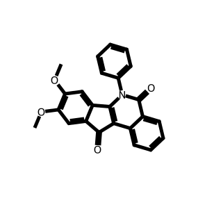 COc1cc2c(cc1OC)-c1c(c3ccccc3c(=O)n1-c1ccccc1)C2=O